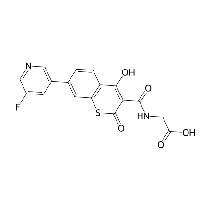 O=C(O)CNC(=O)c1c(O)c2ccc(-c3cncc(F)c3)cc2sc1=O